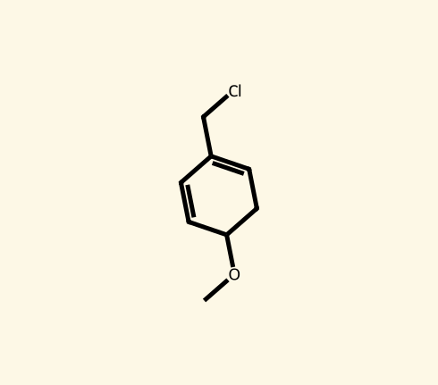 COC1C=CC(CCl)=CC1